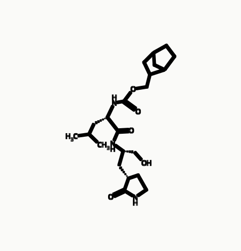 CC(C)C[C@H](NC(=O)OCC1CC2CCC1C2)C(=O)N[C@H](CO)C[C@@H]1CCNC1=O